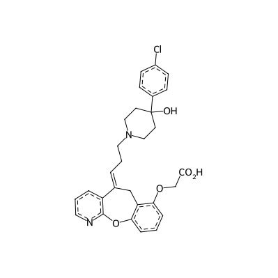 O=C(O)COc1cccc2c1CC(=CCCN1CCC(O)(c3ccc(Cl)cc3)CC1)c1cccnc1O2